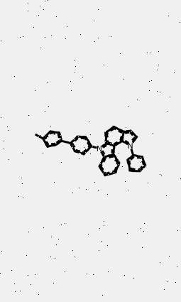 Cc1ccc(-c2ccc(-n3c4ccccc4c4c5c(ccc43)ccn5-c3ccccc3)cc2)cc1